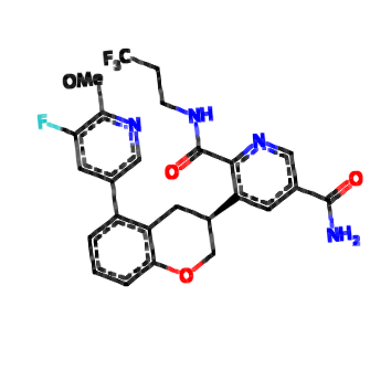 COc1ncc(-c2cccc3c2C[C@@H](c2cc(C(N)=O)cnc2C(=O)NCCC(F)(F)F)CO3)cc1F